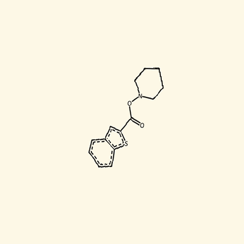 O=C(ON1CCCCC1)c1cc2ccccc2s1